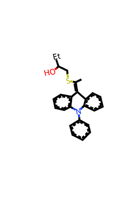 CCC(O)CSC(C)=C1c2ccccc2N(c2ccccc2)c2ccccc21